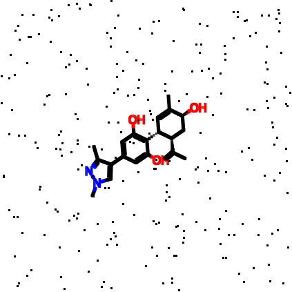 C=C(C)[C@@H]1C[C@H](O)C(C)=C[C@H]1c1c(O)cc(-c2cn(C)nc2C)cc1O